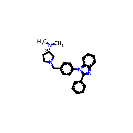 CN(C)[C@H]1CCN(Cc2ccc(-n3c(-c4ccccc4)nc4ccccc43)cc2)C1